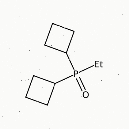 CCP(=O)(C1CCC1)C1CCC1